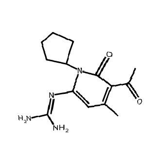 CC(=O)c1c(C)cc(N=C(N)N)n(C2CCCC2)c1=O